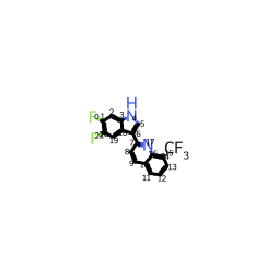 Fc1cc2[nH]cc(-c3ccc4cccc(C(F)(F)F)c4n3)c2cc1F